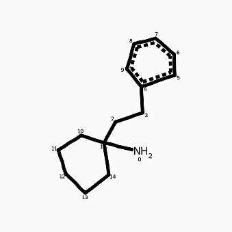 NC1(CCc2ccccc2)CCCCC1